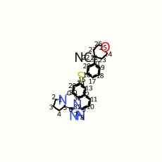 CN1CCC[C@@H]1c1nnc2ccc3cc(Sc4cccc(C5(C#N)CCOCC5)c4)ccc3n12